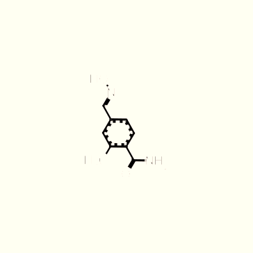 Cc1cc(C=NO)ccc1C(N)=O